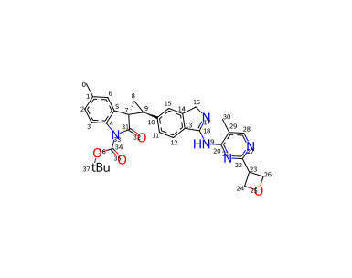 Cc1ccc2c(c1)[C@]1(C[C@H]1c1ccc3c(c1)CN=C3Nc1nc(C3COC3)ncc1C)C(=O)N2C(=O)OC(C)(C)C